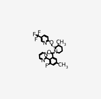 Cc1cc(F)c(-c2ncccn2)c(C(=O)N2CCC[C@@H](C)[C@H]2COc2ccc(C(F)(F)F)cn2)c1